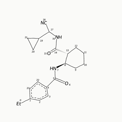 CCc1ccc(C(=O)N[C@@H]2CCCC[C@H]2C(=O)NC(C#N)C2CC2)cc1